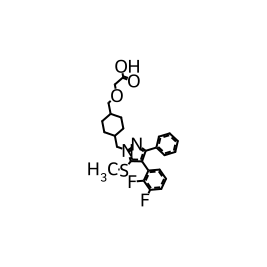 CSc1c(-c2cccc(F)c2F)c(-c2ccccc2)nn1CC1CCC(COCC(=O)O)CC1